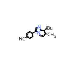 CCC(C)c1c(C)ccn2c(-c3ccc(C#N)cc3)cnc12